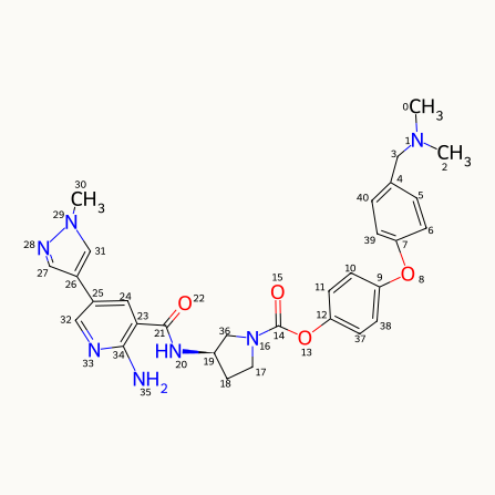 CN(C)Cc1ccc(Oc2ccc(OC(=O)N3CC[C@@H](NC(=O)c4cc(-c5cnn(C)c5)cnc4N)C3)cc2)cc1